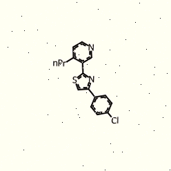 CCCc1ccncc1-c1nc(-c2ccc(Cl)cc2)cs1